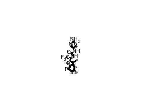 Cc1c([C@H](NC(=O)Nc2cnc(N)nc2)C(F)(F)F)oc2c(F)cc(F)cc12